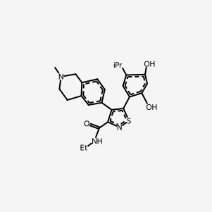 CCNC(=O)c1nsc(-c2cc(C(C)C)c(O)cc2O)c1-c1ccc2c(c1)CCN(C)C2